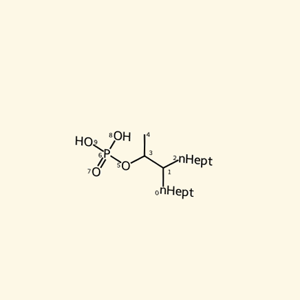 CCCCCCCC(CCCCCCC)C(C)OP(=O)(O)O